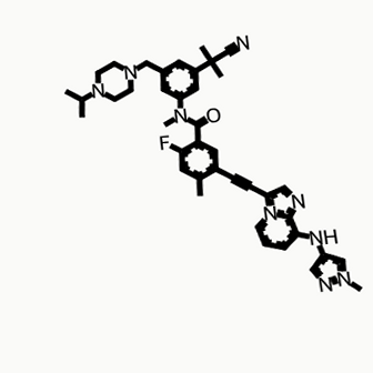 Cc1cc(F)c(C(=O)N(C)c2cc(CN3CCN(C(C)C)CC3)cc(C(C)(C)C#N)c2)cc1C#Cc1cnc2c(Nc3cnn(C)c3)cccn12